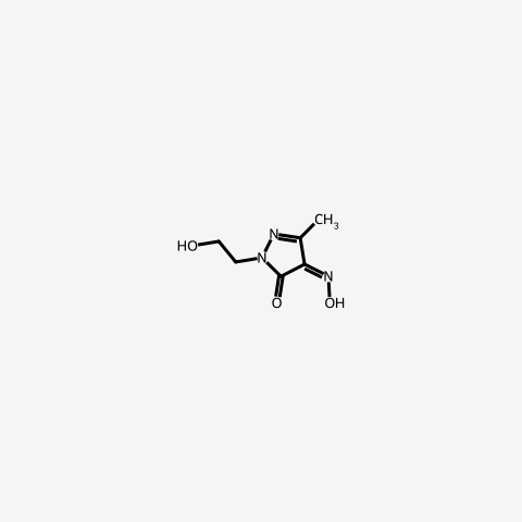 CC1=NN(CCO)C(=O)C1=NO